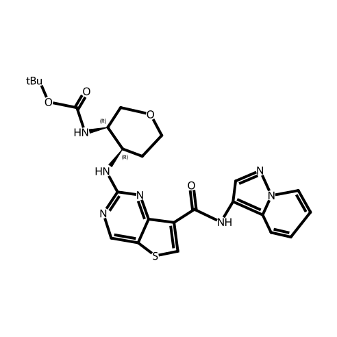 CC(C)(C)OC(=O)N[C@H]1COCC[C@H]1Nc1ncc2scc(C(=O)Nc3cnn4ccccc34)c2n1